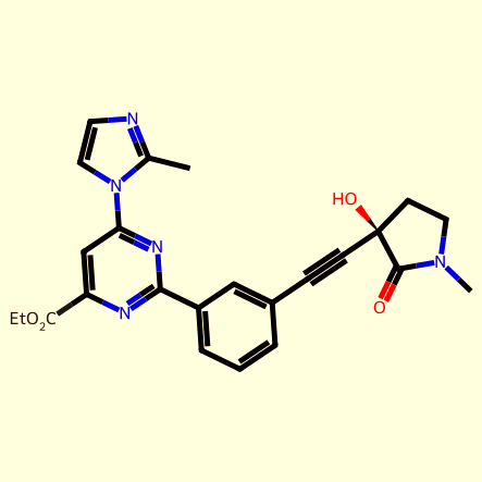 CCOC(=O)c1cc(-n2ccnc2C)nc(-c2cccc(C#C[C@]3(O)CCN(C)C3=O)c2)n1